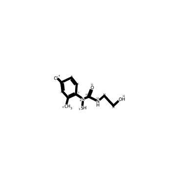 Cc1cc(Cl)ccc1N(S)C(=O)NCCO